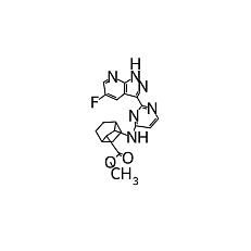 COC(=O)C1C2CCC(CC2)C1Nc1ccnc(-c2n[nH]c3ncc(F)cc23)n1